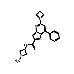 CN1CC(NC(=O)c2cc3nc(N4CCC4)cc(-c4ccccc4)n3n2)C1